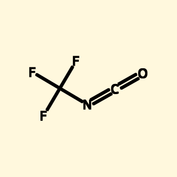 O=C=NC(F)(F)F